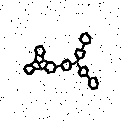 c1ccc(-c2ccc(N(c3ccc(-c4ccccc4)cc3)c3ccc(-c4ccc5c(c4)n4c6ccccc6c6c7ccccc7n5c64)cc3)cc2)cc1